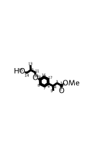 COC(=O)CC(C)c1ccc(OCC(C)CO)cc1